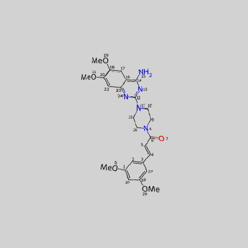 COc1cc(/C=C/C(=O)N2CCN(c3nc(N)c4cc(OC)c(OC)cc4n3)CC2)cc(OC)c1